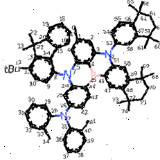 Cc1cc2c3c(c1)N(c1ccc(C(C)(C)C)c4c1-c1ccccc1C4(C)C)c1cc(N(c4ccccc4C)c4ccccc4C)ccc1B3c1cc3c(cc1N2c1ccc2c(c1)C(C)(C)CCC2(C)C)C(C)(C)CCC3(C)C